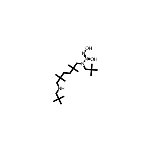 CC(C)(C)CNCC(C)(C)CCC(C)(C)CN(CC(C)(C)C)/[N+](O)=N/O